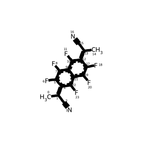 CC(C#N)=c1c(F)c(F)c2c(F)c(=C(C)C#N)c(F)c(F)c2c1F